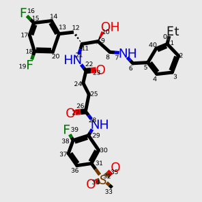 CCc1cccc(CNC[C@H](O)[C@@H](Cc2cc(F)cc(F)c2)NC(=O)CCC(=O)Nc2cc(S(C)(=O)=O)ccc2F)c1